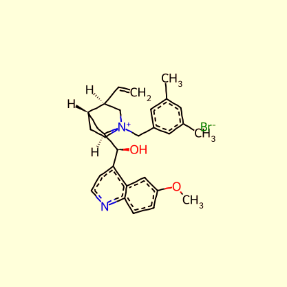 C=C[C@H]1C[N+]2(Cc3cc(C)cc(C)c3)CC[C@H]1C[C@@H]2[C@@H](O)c1ccnc2ccc(OC)cc12.[Br-]